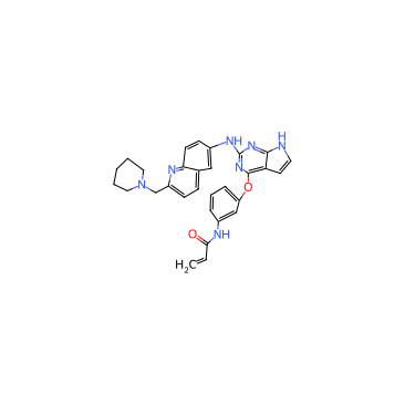 C=CC(=O)Nc1cccc(Oc2nc(Nc3ccc4nc(CN5CCCCC5)ccc4c3)nc3[nH]ccc23)c1